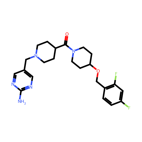 Nc1ncc(CN2CCC(C(=O)N3CCC(OCc4ccc(F)cc4F)CC3)CC2)cn1